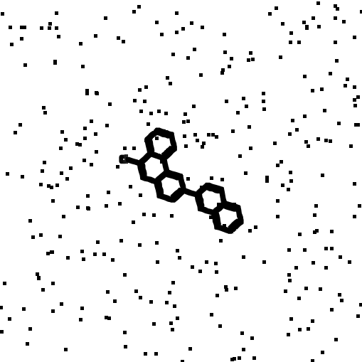 Clc1cc2ccc(-c3ccc4ccccc4c3)cc2c2ccccc12